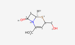 O=C(O)C1=CC(CO)S[C@@H]2CC(=O)N12